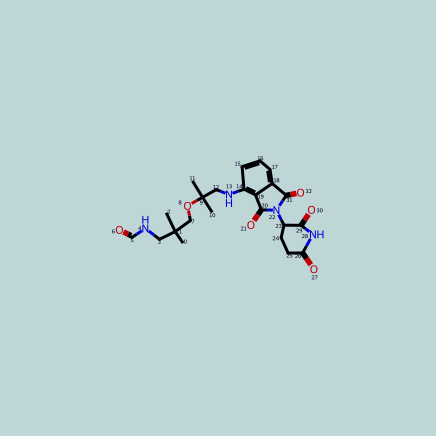 CC(C)(CNC=O)COC(C)(C)CNc1cccc2c1C(=O)N(C1CCC(=O)NC1=O)C2=O